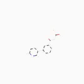 CCc1ccc(-c2cccc(C(=O)CC(=O)OC(C)(C)C)c2)cn1